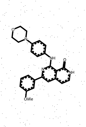 COc1cccc(-c2cc3cc[nH]c(=O)c3c(Nc3ccc(N4CCOCC4)cc3)n2)c1